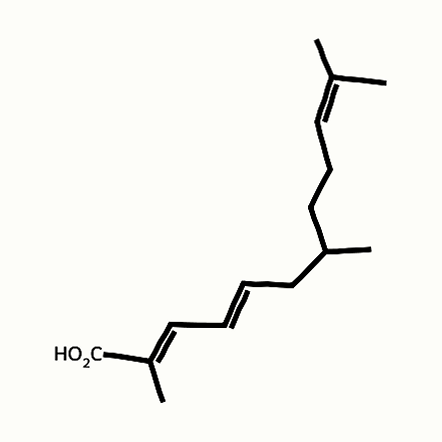 CC(C)=CCCC(C)CC=CC=C(C)C(=O)O